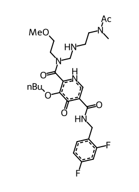 CCCCOc1c(C(=O)N(CCOC)CNCCN(C)C(C)=O)[nH]cc(C(=O)NCc2ccc(F)cc2F)c1=O